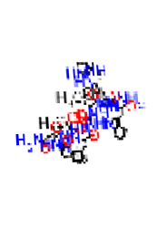 CNC(=N)NCCC[C@H](NC(=O)[C@H](CC(C)C)NC(=O)NNC(=O)[C@H](Cc1ccccc1)NC(=O)[C@@H](NC(=O)[C@H](CC(N)=O)NC(C)=O)[C@@H](C)O)C(=O)N[C@@H](Cc1c[nH]c2ccccc12)C(N)=O